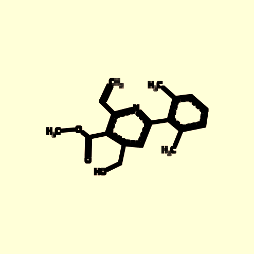 C=Cc1nc(-c2c(C)cccc2C)cc(CO)c1C(=O)OC